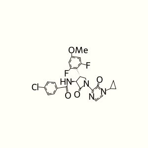 COc1cc(F)c([C@@H]2CN(c3nccn(C4CC4)c3=O)C(=O)[C@H]2NC(=O)c2ccc(Cl)cc2)c(F)c1